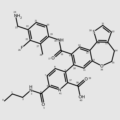 CCCNC(=O)c1ccc(-c2cc3c(cc2C(=O)Nc2ccc(CN)c(F)c2C)-c2sccc2CCO3)c(C(=O)O)n1